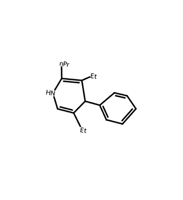 CCCC1=C(CC)C(c2ccccc2)C(CC)=CN1